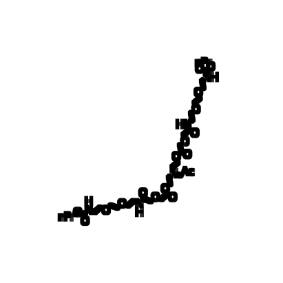 CCCOC(=O)NCCOCCOCCNC(=O)COCC(=O)OCCN(CCOC(=O)COCC(=O)NCCOCCOCCNC(=O)OCCC)CC(C)=O